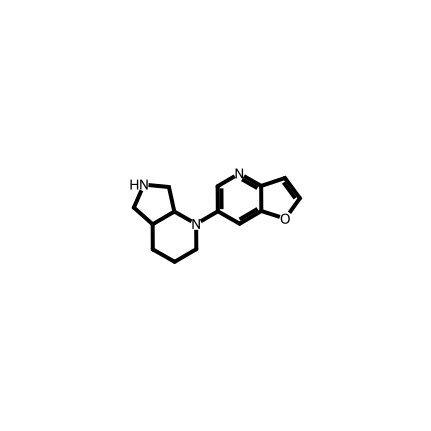 c1cc2ncc(N3CCCC4CNCC43)cc2o1